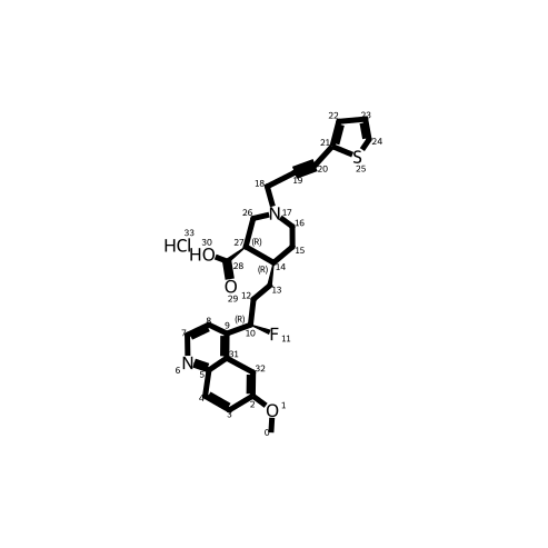 COc1ccc2nccc([C@H](F)CC[C@@H]3CCN(CC#Cc4cccs4)C[C@@H]3C(=O)O)c2c1.Cl